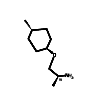 C[C@H](N)CO[C@H]1CC[C@H](C)CC1